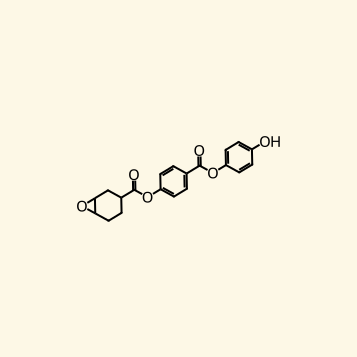 O=C(Oc1ccc(O)cc1)c1ccc(OC(=O)C2CCC3OC3C2)cc1